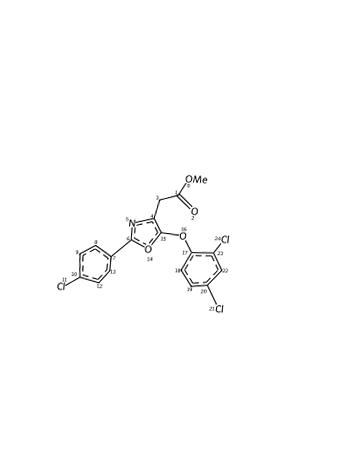 COC(=O)Cc1nc(-c2ccc(Cl)cc2)oc1Oc1ccc(Cl)cc1Cl